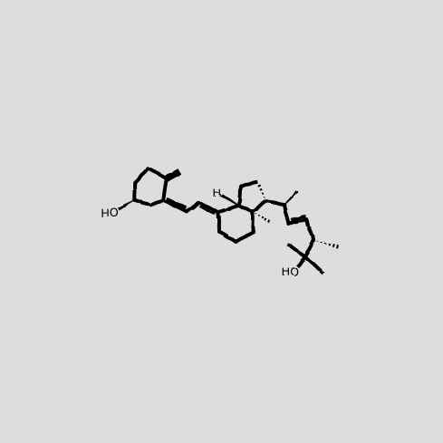 C=C1CC[C@H](O)C/C1=C/C=C1\CCC[C@]2(C)[C@@H]([C@@H](C)/C=C/[C@H](C)C(C)(C)O)CC[C@@H]12